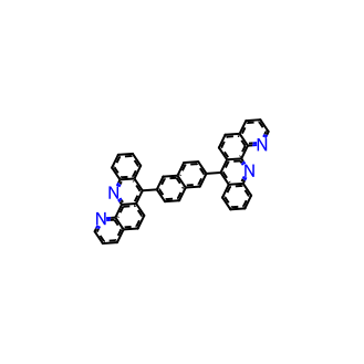 c1cnc2c(c1)ccc1c(-c3ccc4cc(-c5c6ccccc6nc6c5ccc5cccnc56)ccc4c3)c3ccccc3nc12